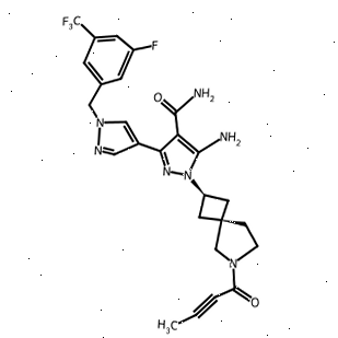 CC#CC(=O)N1CC[C@]2(C1)C[C@H](n1nc(-c3cnn(Cc4cc(F)cc(C(F)(F)F)c4)c3)c(C(N)=O)c1N)C2